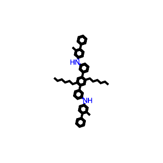 CCCCCCc1cc(-c2cccc(Nc3ccc(-c4ccccc4)c(C)c3)c2)c(CCCCCC)cc1-c1cccc(Nc2ccc(-c3ccccc3)c(C)c2)c1